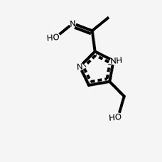 C/C(=N/O)c1ncc(CO)[nH]1